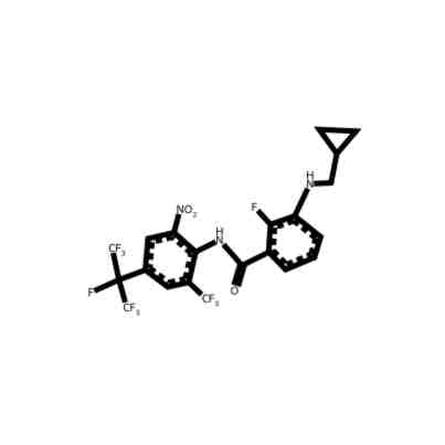 O=C(Nc1c([N+](=O)[O-])cc(C(F)(C(F)(F)F)C(F)(F)F)cc1C(F)(F)F)c1cccc(NCC2CC2)c1F